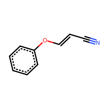 N#CC=COc1ccccc1